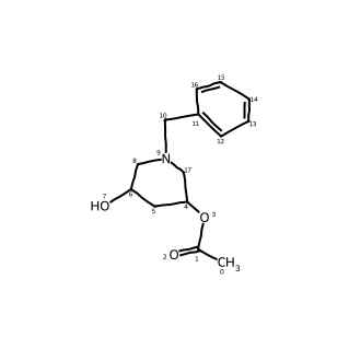 CC(=O)OC1CC(O)CN(Cc2ccccc2)C1